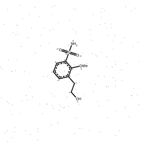 COc1c(CCO)cccc1S(N)(=O)=O